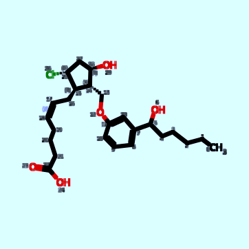 CCCCCC(O)c1cccc(OC[C@@H]2[C@@H](C/C=C\CCCC(=O)O)[C@H](Cl)C[C@H]2O)c1